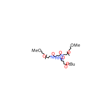 COCCCOC(C)(C)CCNC(=O)CCC(NC(=O)CCCC(=O)OC(C)(C)C)C(=O)NCCC(C)(C)OCCCOC